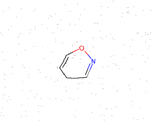 [C]1=CON=CC1